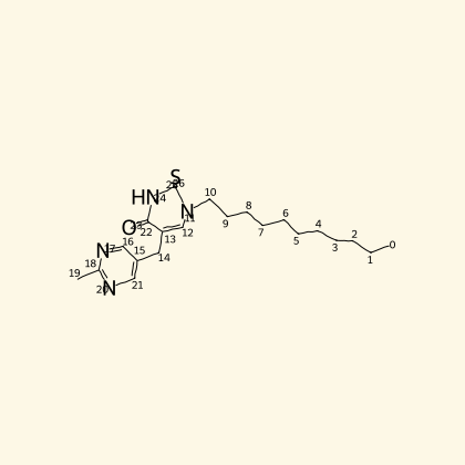 CCCCCCCCCCCn1cc(Cc2cnc(C)nc2)c(=O)[nH]c1=S